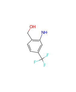 [NH]c1cc(C(F)(F)F)ccc1CO